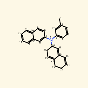 Cc1cccc(N(c2ccc3ccccc3c2)C2C=C3C=CCCC3=CC2)c1